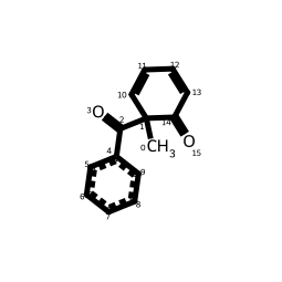 CC1(C(=O)c2ccccc2)C=CC=CC1=O